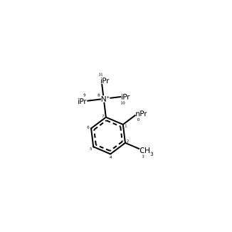 CCCc1c(C)cccc1[N+](C(C)C)(C(C)C)C(C)C